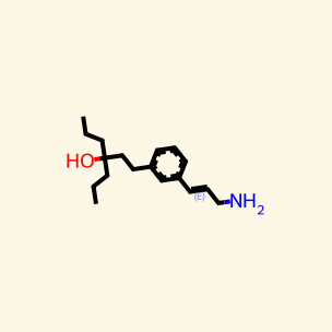 CCCC(O)(CCC)CCc1cccc(/C=C/CN)c1